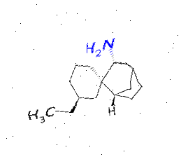 CC[C@H]1CCC[C@@]2(C1)[C@H]1CCC(C1)[C@H]2N